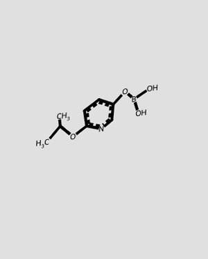 CC(C)Oc1ccc(OB(O)O)cn1